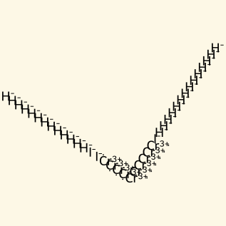 [Cr+3].[Cr+3].[Cr+3].[Cr+3].[Cr+3].[Cr+3].[Cr+3].[Cr+3].[Cr+3].[Cr+3].[H-].[H-].[H-].[H-].[H-].[H-].[H-].[H-].[H-].[H-].[H-].[H-].[H-].[H-].[H-].[H-].[H-].[H-].[H-].[H-].[H-].[H-].[H-].[H-].[H-].[H-].[H-].[I-].[I-].[I-]